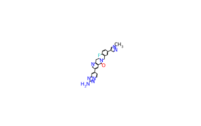 Cn1cc(-c2ccc(F)c(CN3CCc4ncc(-c5ccn6nc(N)nc6c5)cc4C3=O)c2)cn1